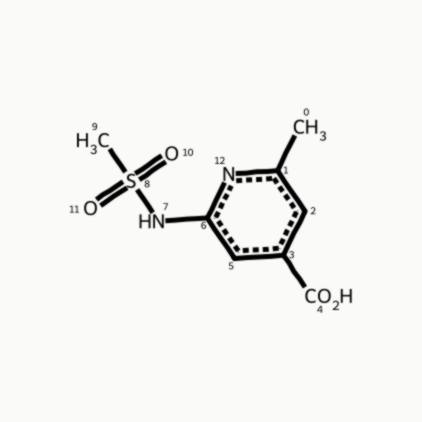 Cc1cc(C(=O)O)cc(NS(C)(=O)=O)n1